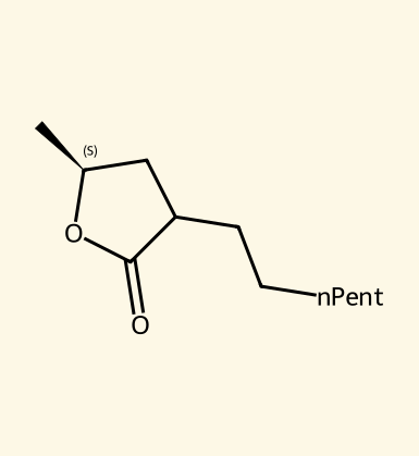 CCCCCCCC1C[C@H](C)OC1=O